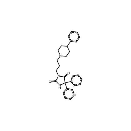 O=C1NC(c2ccccc2)(c2cccnc2)C(=O)N1CCCN1CCC(c2ccccc2)CC1